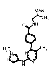 COC(C)CNC(=O)c1ccc(-c2nc(Nc3cnn(C)c3)ncc2C)cc1